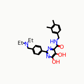 CCN(CC)Cc1ccc(-c2nc(O)c(O)c(C(=O)NCc3ccc(C)c(C)c3)n2)cc1